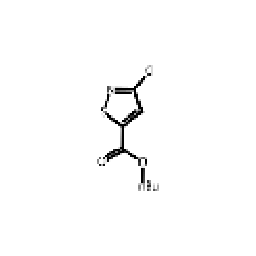 CCCCOC(=O)c1cc(Cl)ns1